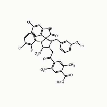 CCOc1cccc(CN2[C@@H](CC(=O)c3cc(C)c(C(=O)OC)cc3[N+](=O)[O-])[C@@H]([N+](=O)[O-])[C@H](c3cccc(Cl)c3F)[C@]23C(=O)Nc2cc(Cl)ccc23)c1